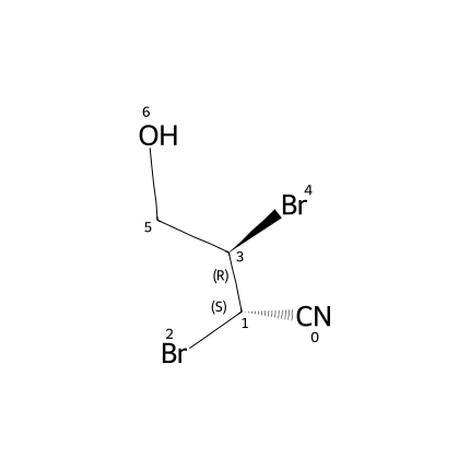 N#C[C@H](Br)[C@H](Br)CO